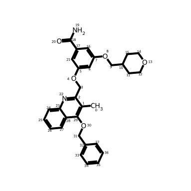 Cc1c(COc2cc(OCC3CCOCC3)cc(C(N)=O)c2)nc2ccccc2c1OCc1ccccc1